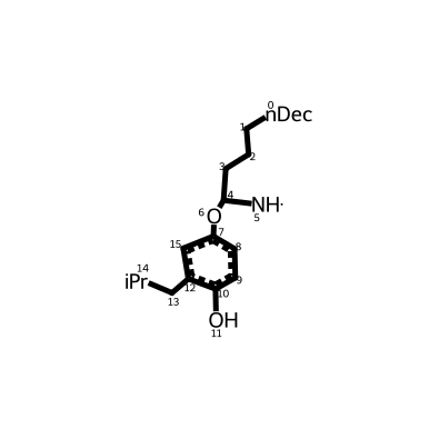 CCCCCCCCCCCCCC([NH])Oc1ccc(O)c(CC(C)C)c1